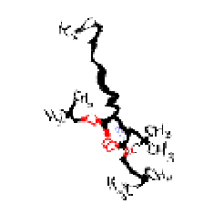 CCCCCCCCCC/C(C(=O)OCC(C)C)=C(\CC(C)(C)C)C(=O)OCC(C)C